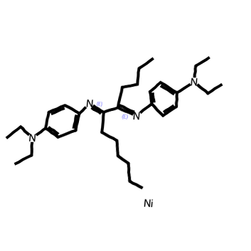 CCCCCCC(=N\c1ccc(N(CC)CC)cc1)/C(CCCC)=N/c1ccc(N(CC)CC)cc1.[Ni]